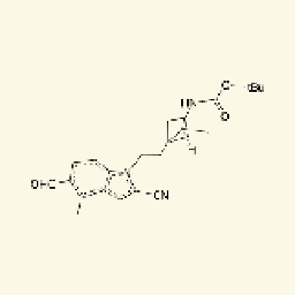 Cc1c(C=O)ccc2c1cc(C#N)n2CCC12CC(NC(=O)OC(C)(C)C)(C1)[C@H]2C